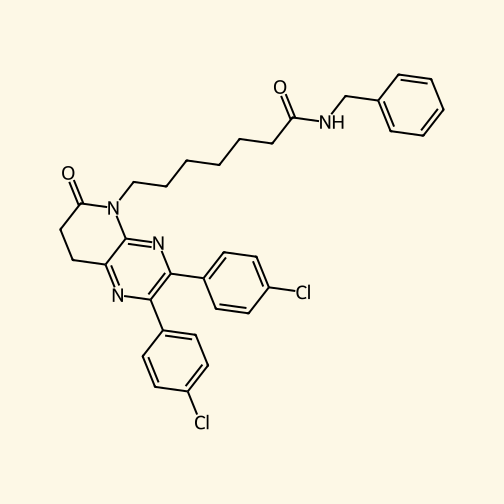 O=C(CCCCCCN1C(=O)CCc2nc(-c3ccc(Cl)cc3)c(-c3ccc(Cl)cc3)nc21)NCc1ccccc1